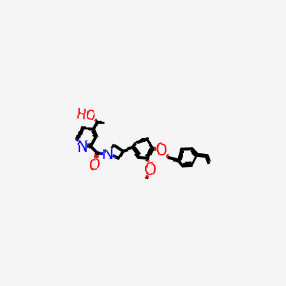 CCc1ccc(COc2ccc(C3CN(C(=O)c4cc(C(C)O)ccn4)C3)cc2OC)cc1